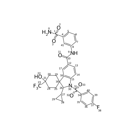 NS(=O)(=O)c1cccc(NC(=O)c2ccc3c(c2)C2(CCC(O)(C(F)(F)F)CC2)C(C2CC2)N3S(=O)(=O)c2ccc(F)cc2)c1